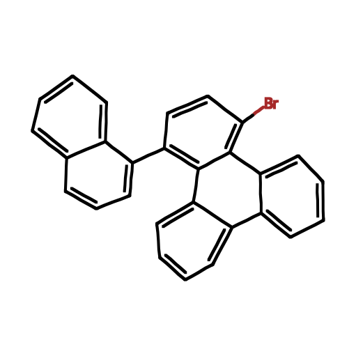 Brc1ccc(-c2cccc3ccccc23)c2c3ccccc3c3ccccc3c12